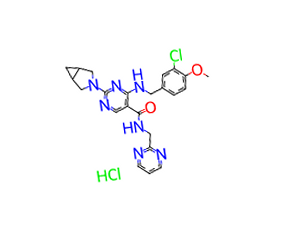 COc1ccc(CNc2nc(N3CC4CC4C3)ncc2C(=O)NCc2ncccn2)cc1Cl.Cl